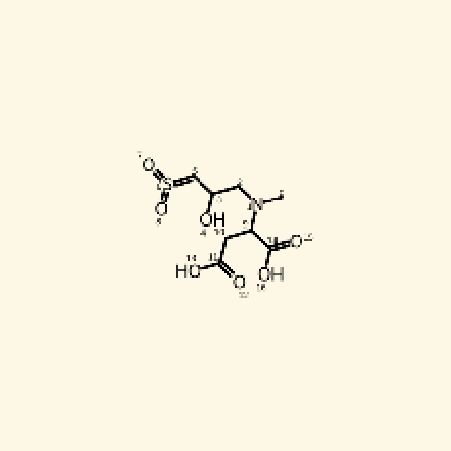 CN(CC(O)C=S(=O)=O)C(CC(=O)O)C(=O)O